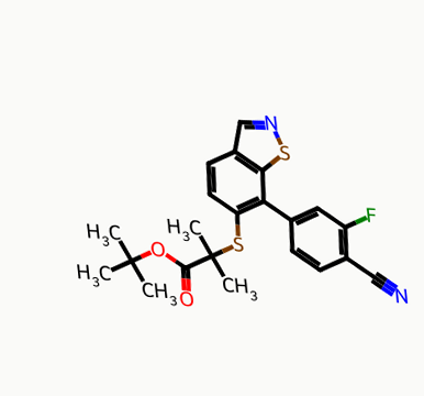 CC(C)(C)OC(=O)C(C)(C)Sc1ccc2cnsc2c1-c1ccc(C#N)c(F)c1